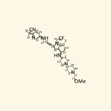 COCCN1CCC(N2CCC(Nc3cccc4c3cc(C#CCNc3ccc(C(C)(C)C#N)nc3)n4CC(F)(F)F)CC2)CC1